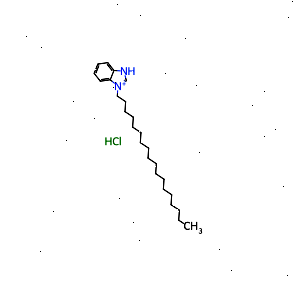 CCCCCCCCCCCCCCCCCC[n+]1c[nH]c2ccccc21.Cl